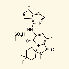 CS(=O)(=O)O.Cc1cc(Nc2ncnc3[nH]ccc23)c(=O)n2c1C(=O)NC21CCC(F)(F)CC1